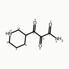 NC(=O)C(=O)C(=O)C1CCCNC1